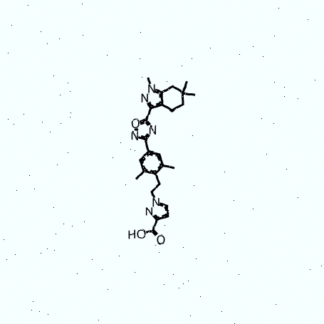 Cc1cc(-c2noc(-c3nn(C)c4c3CCC(C)(C)C4)n2)cc(C)c1CCn1ccc(C(=O)O)n1